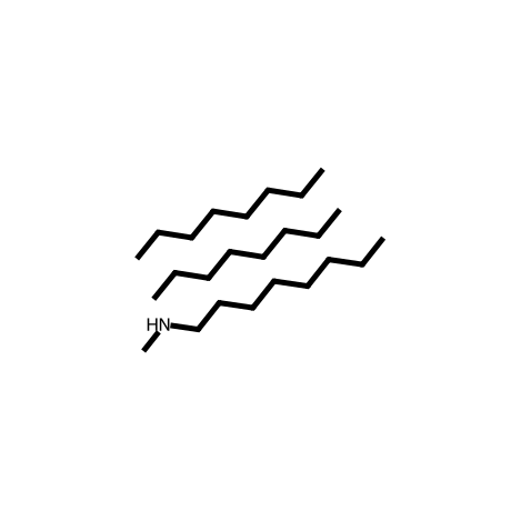 CCCCCCCC.CCCCCCCC.CCCCCCCCNC